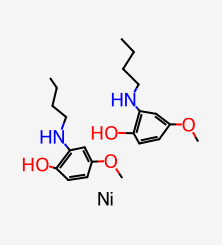 CCCCNc1cc(OC)ccc1O.CCCCNc1cc(OC)ccc1O.[Ni]